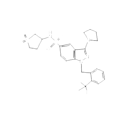 O=S1(=O)CCC(NS(=O)(=O)c2ccc3c(c2)c(N2CCCC2)nn3Cc2ccccc2C(F)(F)F)C1